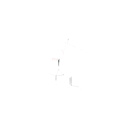 CC(C)=C[C@H]1[C@H](C(=O)OC=[N+](C)C)C1(C)C.[Cl-]